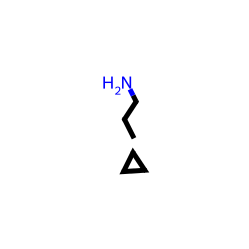 C1CC1.CCCN